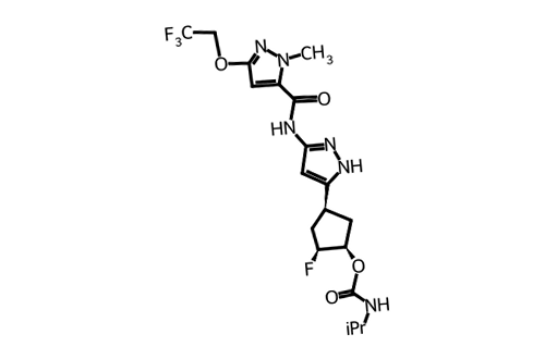 CC(C)NC(=O)O[C@@H]1C[C@H](c2cc(NC(=O)c3cc(OCC(F)(F)F)nn3C)n[nH]2)C[C@@H]1F